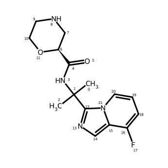 CC(C)(NC(=O)[C@@H]1CNCCO1)c1ncc2c(F)cccn12